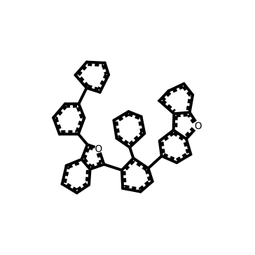 c1ccc(-c2cccc(-c3oc(-c4cccc(-c5ccc6oc7ccccc7c6c5)c4-c4ccccc4)c4ccccc34)c2)cc1